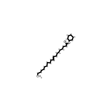 CCCCCCCCCCC=CCCCCCCCC(=O)OC1CCCCC1